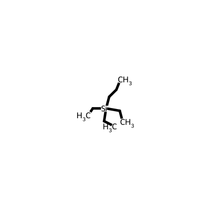 CCC[Si](CC)(CC)CC